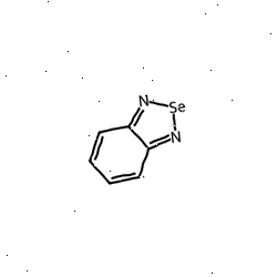 [c]1cccc2n[se]nc12